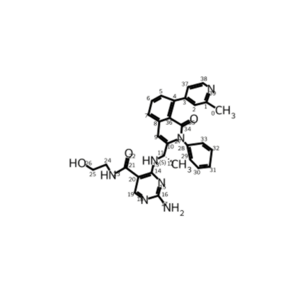 Cc1cc(-c2cccc3cc([C@H](C)Nc4nc(N)ncc4C(=O)NCCO)n(-c4ccccc4)c(=O)c23)ccn1